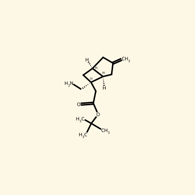 C=C1C[C@@H]2C[C@](CN)(CC(=O)OC(C)(C)C)[C@@H]2C1